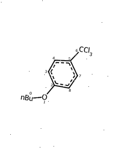 CCCCOc1ccc(C(Cl)(Cl)Cl)cc1